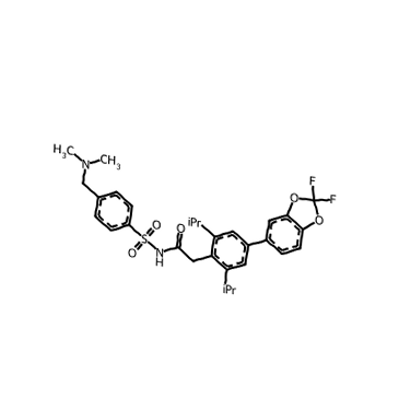 CC(C)c1cc(-c2ccc3c(c2)OC(F)(F)O3)cc(C(C)C)c1CC(=O)NS(=O)(=O)c1ccc(CN(C)C)cc1